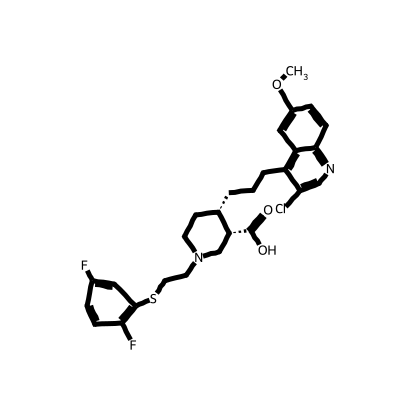 COc1ccc2ncc(Cl)c(CCC[C@H]3CCN(CCSc4cc(F)ccc4F)C[C@H]3C(=O)O)c2c1